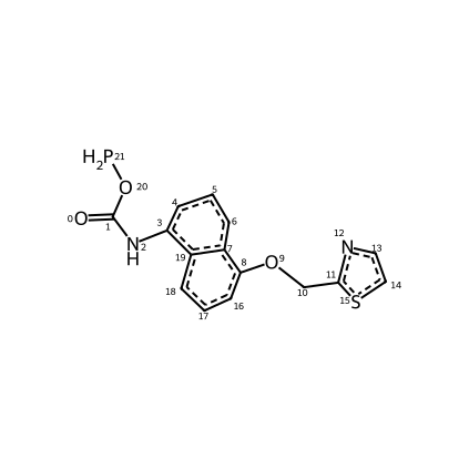 O=C(Nc1cccc2c(OCc3nccs3)cccc12)OP